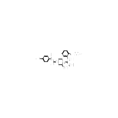 COc1ccccc1NC(=N)N1CCN(C(=O)Nc2ccc(Cl)cc2)CC1C(C)C